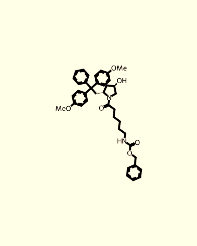 COc1ccc(C(C[C@@H]2C[C@@H](O)CN2C(=O)CCCCCNC(=O)OCc2ccccc2)(c2ccccc2)c2ccc(OC)cc2)cc1